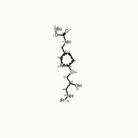 CCCCOC(=O)NCc1ccc(OCC(O)CNC(C)C)nc1